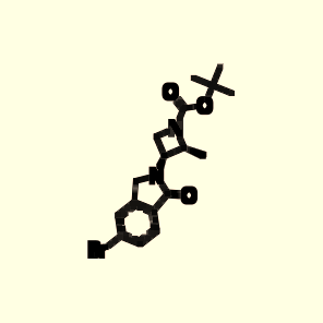 C[C@H]1[C@@H](N2Cc3cc(Br)ccc3C2=O)CN1C(=O)OC(C)(C)C